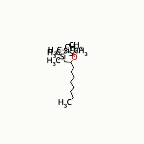 CCCCCCCCC1C[Si](C)(C)[Si](C)(C)[Si](C)(C)O1